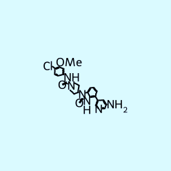 COc1cc(NC(=O)N2CCC(n3c(=O)[nH]c4c(-c5cncc(N)c5)cccc43)CC2)ccc1Cl